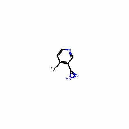 FC(F)(F)c1ccn[c]c1C1=NN1